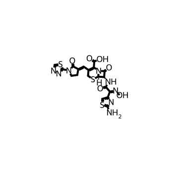 Nc1nc(C(=NO)C(=O)N[C@@H]2C(=O)N3C(C(=O)O)=C(C=C4CCN(c5nncs5)C4=O)CS[C@H]23)cs1